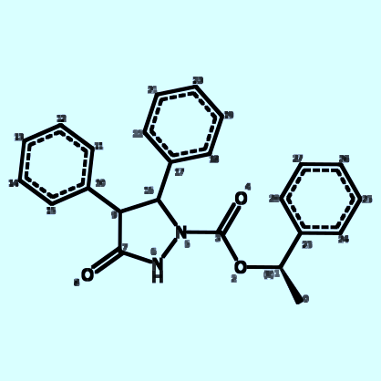 C[C@@H](OC(=O)N1NC(=O)C(c2ccccc2)C1c1ccccc1)c1ccccc1